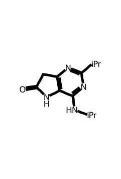 CC(C)Nc1nc(C(C)C)nc2c1NC(=O)C2